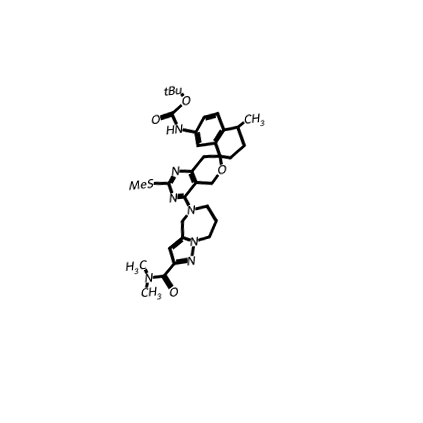 CSc1nc2c(c(N3CCCn4nc(C(=O)N(C)C)cc4C3)n1)COC1(CCC(C)c3ccc(NC(=O)OC(C)(C)C)cc31)C2